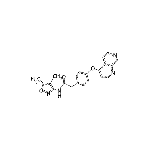 Cc1onc(NC(=O)Cc2ccc(Oc3ccnc4cnccc34)cc2)c1C